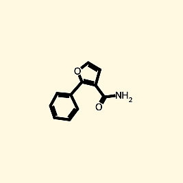 NC(=O)c1ccoc1-c1ccccc1